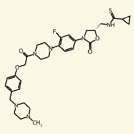 CN1CCN(Cc2ccc(OCC(=O)N3CCN(c4ccc(N5C[C@H](CNC(=S)C6CC6)OC5=O)cc4F)CC3)cc2)CC1